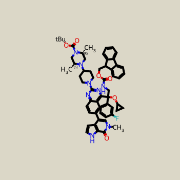 C[C@@H]1CN(C2CCN(c3nc(C(CNC(=O)OCC4c5ccccc5-c5ccccc54)(OC4CC4)c4cccc(F)c4)c4cc(-c5cn(C)c(=O)c6[nH]ccc56)ccc4n3)CC2)[C@@H](C)CN1C(=O)OC(C)(C)C